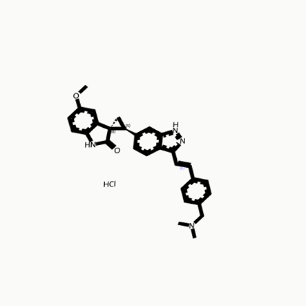 COc1ccc2c(c1)[C@]1(C[C@H]1c1ccc3c(/C=C/c4ccc(CN(C)C)cc4)n[nH]c3c1)C(=O)N2.Cl